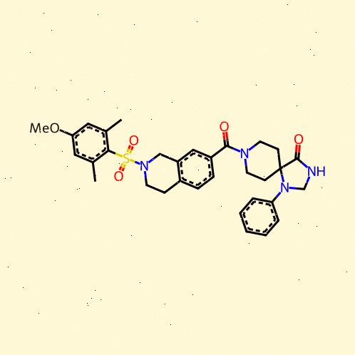 COc1cc(C)c(S(=O)(=O)N2CCc3ccc(C(=O)N4CCC5(CC4)C(=O)NCN5c4ccccc4)cc3C2)c(C)c1